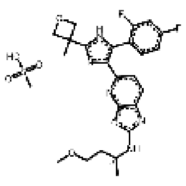 COCC[C@H](C)Nc1nc2ccc(-c3nc(C4(C)COC4)[nH]c3-c3ccc(F)cc3F)nc2o1.CS(=O)(=O)O